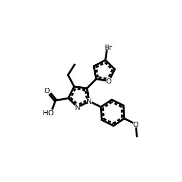 CCc1c(C(=O)O)nn(-c2ccc(OC)cc2)c1-c1cc(Br)co1